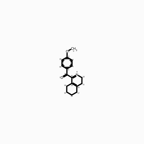 COc1ccc(C(=O)C2=NCCC3=C2CCCC3)cc1